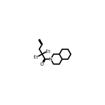 C=CCC(CC)(CC)C(=O)N1CCC2CCCCC2C1